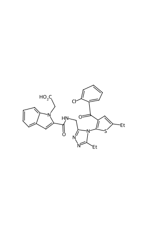 CCc1cc(C(=O)c2ccccc2Cl)c(-n2c(CC)nnc2CNC(=O)c2cc3ccccc3n2CC(=O)O)s1